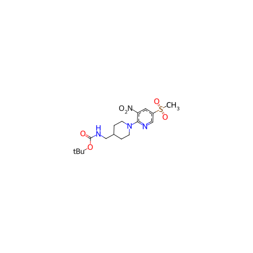 CC(C)(C)OC(=O)NCC1CCN(c2ncc(S(C)(=O)=O)cc2[N+](=O)[O-])CC1